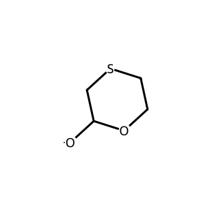 [O]C1CSCCO1